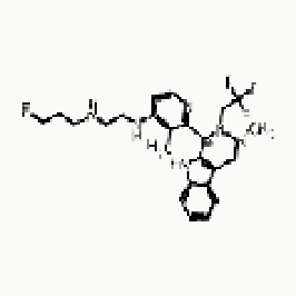 Cc1c(NCCNCCCF)ccnc1[C@@H]1c2[nH]c3ccccc3c2C[C@@H](C)N1CC(F)(F)F